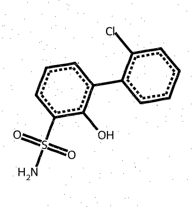 NS(=O)(=O)c1cc[c]c(-c2ccccc2Cl)c1O